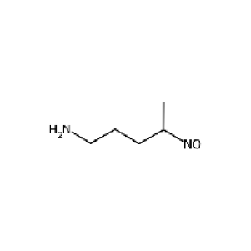 CC(CCCN)N=O